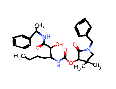 CCCC[C@H](NC(=O)OC1C(=O)N(Cc2ccccc2)CC1(C)C)C(O)C(=O)N[C@H](C)c1ccccc1